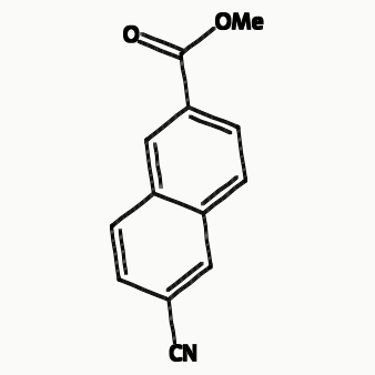 COC(=O)c1ccc2cc(C#N)ccc2c1